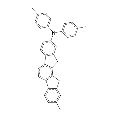 Cc1ccc(N(c2ccc(C)cc2)c2ccc3c(c2)Cc2c-3ccc3c2Cc2cc(C)ccc2-3)cc1